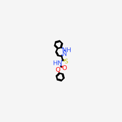 O=C(NC(=S)C1=NNc2ccccc2C=C1)Oc1ccccc1